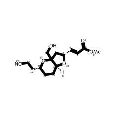 COC(=O)/C=C/[C@H]1CC2(CO)O[C@@H](CCC#N)CC[C@@H]2O1